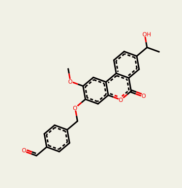 COc1cc2c(cc1OCc1ccc(C=O)cc1)oc(=O)c1cc(C(C)O)ccc12